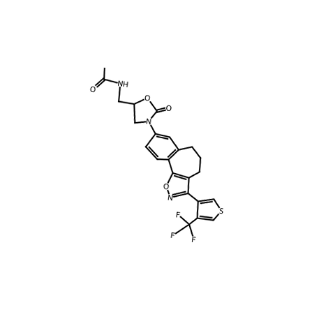 CC(=O)NCC1CN(c2ccc3c(c2)CCCc2c(-c4cscc4C(F)(F)F)noc2-3)C(=O)O1